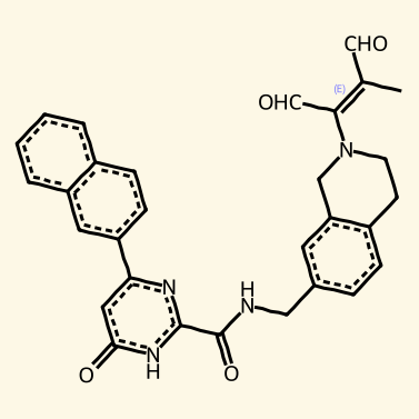 C/C(C=O)=C(/C=O)N1CCc2ccc(CNC(=O)c3nc(-c4ccc5ccccc5c4)cc(=O)[nH]3)cc2C1